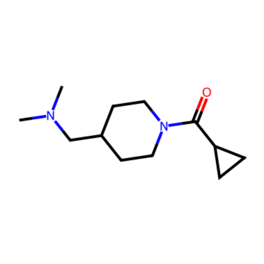 CN(C)CC1CCN(C(=O)C2CC2)CC1